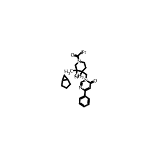 C1CC2CC2C1.CC(C)C(=O)N1CCC(O)(Cn2cnc(-c3ccccc3)cc2=O)C(C)(C)C1